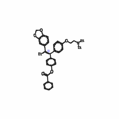 CC/C(=C(/c1ccc(OCCN(CC)CC)cc1)c1ccc(OC(=O)c2ccccc2)cc1)c1ccc2c(c1)OCO2